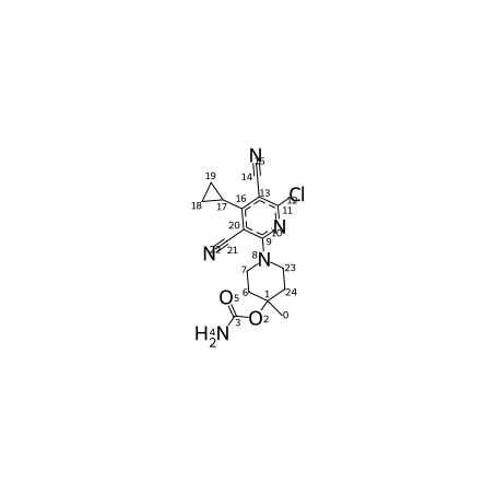 CC1(OC(N)=O)CCN(c2nc(Cl)c(C#N)c(C3CC3)c2C#N)CC1